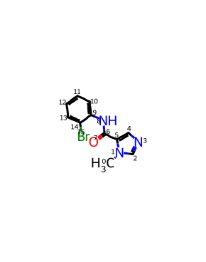 Cn1cncc1C(=O)Nc1ccccc1Br